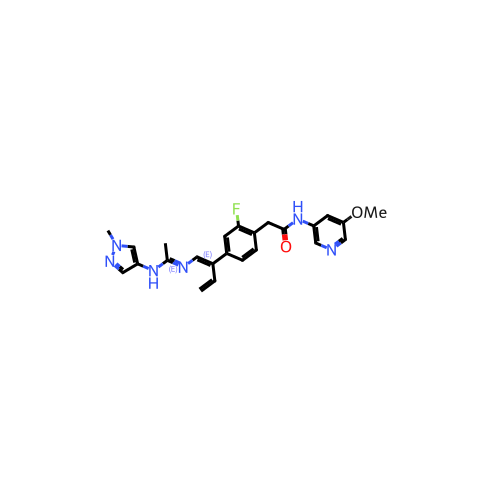 C=C/C(=C\N=C(/C)Nc1cnn(C)c1)c1ccc(CC(=O)Nc2cncc(OC)c2)c(F)c1